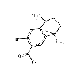 CC12CCC(C)(C1)c1cc(C(=O)Cl)c(Br)cc12